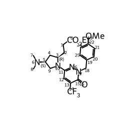 CCOC(=O)CC[C@@H]1C[C@H](N(C)C)CN1c1cc(C(F)(F)F)c(=O)n(Cc2ccc(OC)cc2)n1